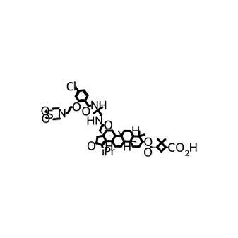 CC(C)C1=C2[C@H]3CC[C@@H]4[C@@]5(C)CC[C@H](OC(=O)[C@H]6C[C@@H](C(=O)O)C6(C)C)C(C)(C)[C@@H]5CC[C@@]4(C)[C@]3(C)CC[C@@]2(CC(=O)NCC(C)(C)NC(=O)c2ccc(Cl)cc2OCCN2CCS(=O)(=O)CC2)CC1=O